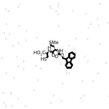 CSCC[C@H](NC(=O)OCC1c2ccccc2-c2ccccc21)C(=O)N[C@@H](CS)C(=O)O